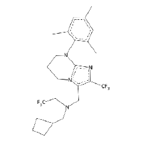 Cc1cc(C)c(N2CCCn3c2nc(C(F)(F)F)c3CN(CC2CCC2)CC(F)(F)F)c(C)c1